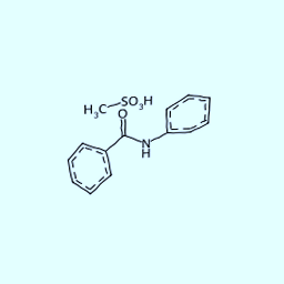 CS(=O)(=O)O.O=C(Nc1ccccc1)c1ccccc1